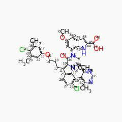 COc1cc(N2C[C@@H](C)n3c(c(CCCOc4cc(C)c(Cl)c(C)c4)c4ccc(Cl)c(-c5c(C)ncnc5C)c43)C2=O)c2[nH]c(C(=O)O)cc2c1